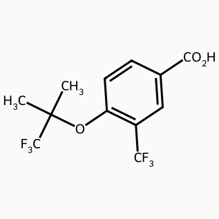 CC(C)(Oc1ccc(C(=O)O)cc1C(F)(F)F)C(F)(F)F